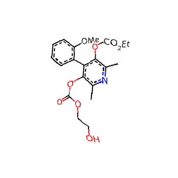 CCOC(=O)Oc1c(C)nc(C)c(OC(=O)OCCO)c1-c1ccccc1OC